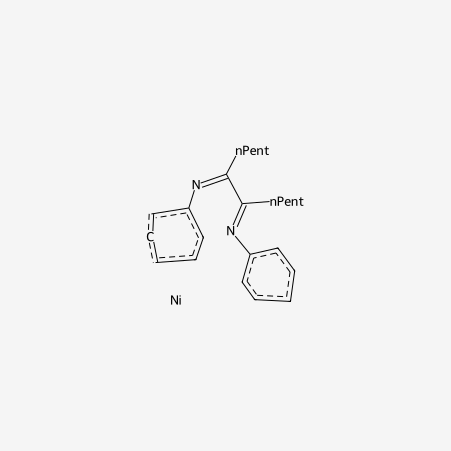 CCCCCC(=Nc1ccccc1)C(CCCCC)=Nc1ccccc1.[Ni]